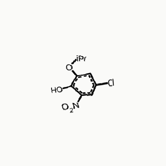 CC(C)Oc1cc(Cl)cc([N+](=O)[O-])c1O